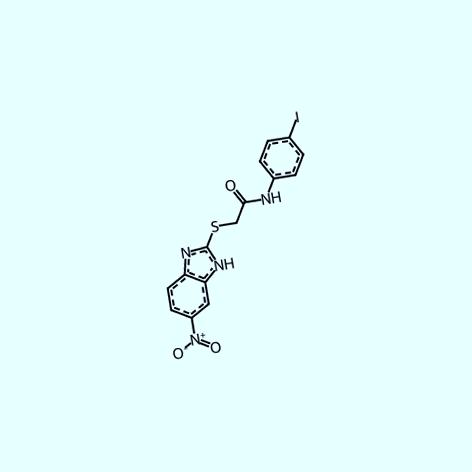 O=C(CSc1nc2ccc([N+](=O)[O-])cc2[nH]1)Nc1ccc(I)cc1